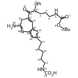 CCCN(CCCNC(=O)OC(C)(C)C)C(=O)C1=Cc2sc(CCCCCNC(=O)O)cc2N=C(N)C1